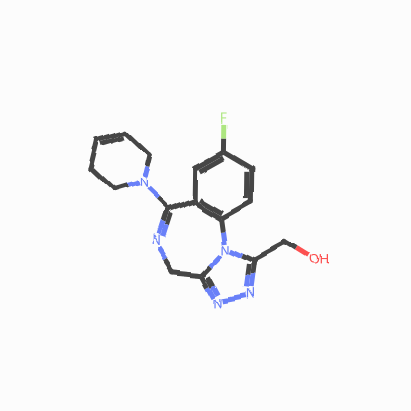 OCc1nnc2n1-c1ccc(F)cc1C(N1CC=CCC1)=NC2